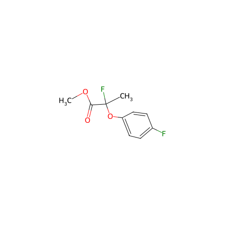 COC(=O)C(C)(F)Oc1ccc(F)cc1